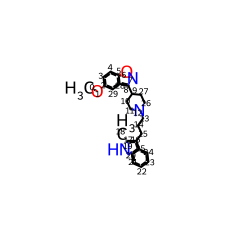 COc1ccc2onc(C3CCN(CCCc4c(C)[nH]c5ccccc45)CC3)c2c1